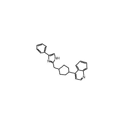 c1ccc(-c2c[nH]c(CC3CCC(c4ccnc5ccccc45)CC3)n2)cc1